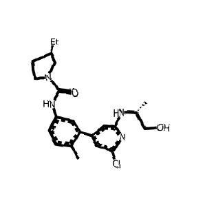 CC[C@@H]1CCN(C(=O)Nc2ccc(C)c(-c3cc(Cl)nc(N[C@H](C)CO)c3)c2)C1